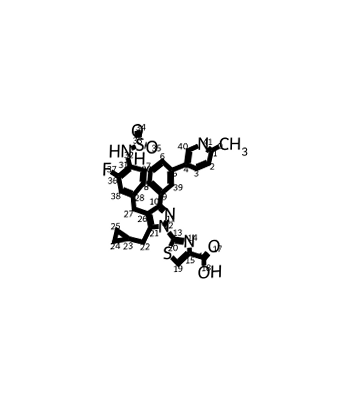 Cc1ccc(-c2cccc(-c3nn(-c4nc(C(=O)O)cs4)c(CC4CC4)c3Cc3ccc(N[SH](=O)=O)c(F)c3)c2)cn1